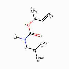 C=CC(C)OC(=O)N(CC)CC(OC)OC